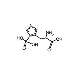 NC(Cc1cncn1P(=O)(O)O)C(=O)O